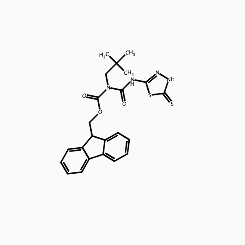 CC(C)(C)CN(C(=O)Nc1n[nH]c(=S)s1)C(=O)OCC1c2ccccc2-c2ccccc21